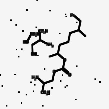 CC(C)CC(C)CCCC(C)OC(=O)OCC(N)C(=O)O.NC(CO)C(=O)O.O=C(O)O